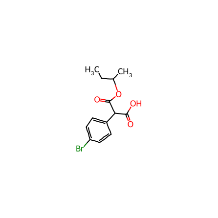 CCC(C)OC(=O)C(C(=O)O)c1ccc(Br)cc1